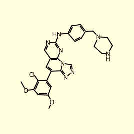 COc1cc(OC)c(Cl)c(-c2cc3cnc(Nc4ccc(CN5CCNCC5)cc4)nc3n3cnnc23)c1